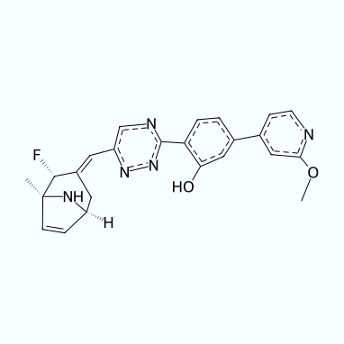 COc1cc(-c2ccc(-c3ncc(/C=C4\C[C@H]5C=C[C@](C)(N5)[C@@H]4F)nn3)c(O)c2)ccn1